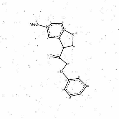 COc1ccc2c(c1)C(C(=O)COc1ccccc1)CS2